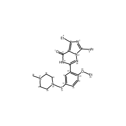 CCCc1nc(CC)c2c(=O)[nH]c(-c3cc(SN4CCN(C)CC4)ccc3OCC)nn12